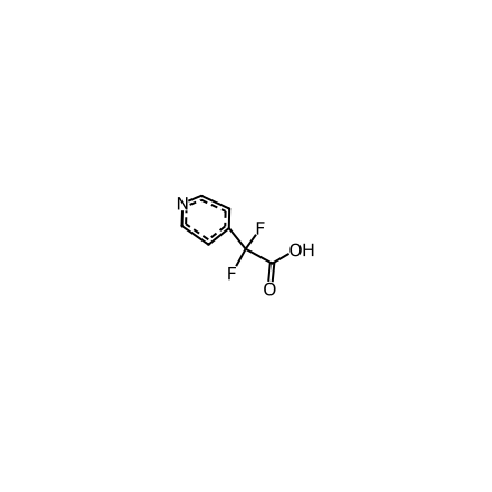 O=C(O)C(F)(F)c1ccncc1